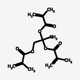 C=C(C)C(=O)OCC(N)(OC(=O)C(=C)C)OC(=O)C(=C)C